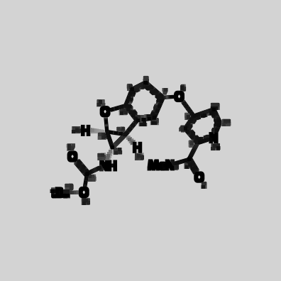 CNC(=O)c1cc(Oc2ccc3c(c2)[C@H]2[C@H](NC(=O)OC(C)(C)C)[C@H]2O3)ccn1